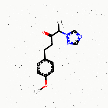 CC(C(=O)CCc1ccc(OC(F)(F)F)cc1)n1cncn1